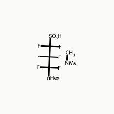 CCCCCCC(F)(F)C(F)(F)C(F)(F)S(=O)(=O)O.CNC